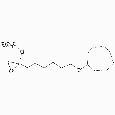 CCOC(=O)OC1(CCCCCCOC2CCCCCCC2)CO1